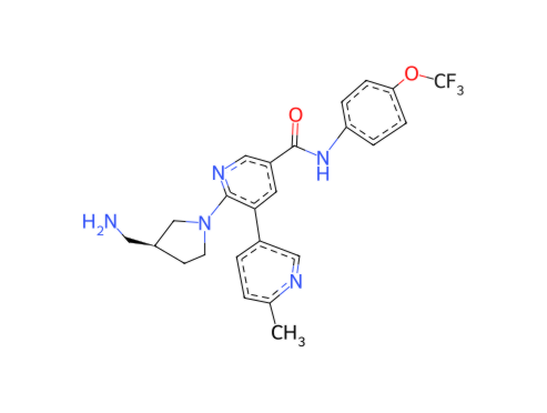 Cc1ccc(-c2cc(C(=O)Nc3ccc(OC(F)(F)F)cc3)cnc2N2CC[C@@H](CN)C2)cn1